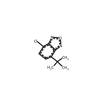 CC(C)(C)c1ccc(Cl)c2nonc12